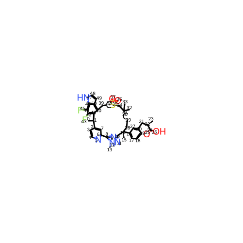 CC1c2ccnc(c2)-c2nc(nn2C)[C@@](C)(c2cccc(C[C@@H](C)C(=O)O)c2)CCCC(C)(C)CS(=O)(=O)CCc2c1c(F)c(F)c1[nH]ccc21